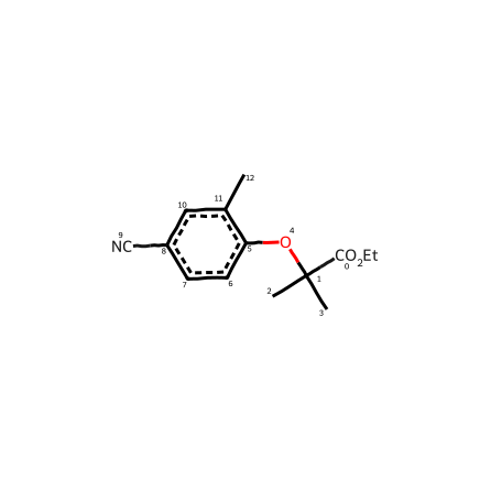 CCOC(=O)C(C)(C)Oc1ccc(C#N)cc1C